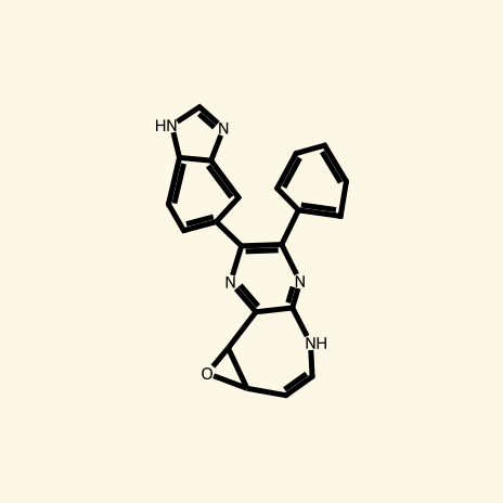 C1=CC2OC2c2nc(-c3ccc4[nH]cnc4c3)c(-c3ccccc3)nc2N1